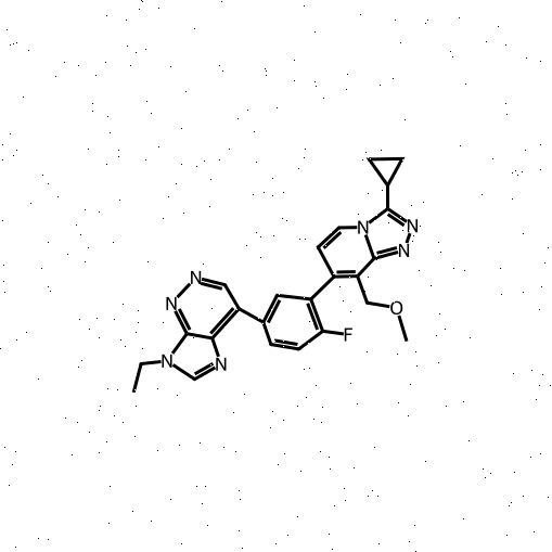 CCn1cnc2c(-c3ccc(F)c(-c4ccn5c(C6CC6)nnc5c4COC)c3)cnnc21